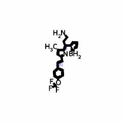 Bn1cccc1/C(CCN)=C1N=C(/C=C/c2ccc(OC(F)(F)F)cc2)C=C\1C